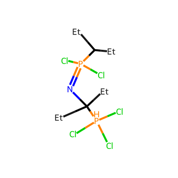 CCC(CC)P(Cl)(Cl)=NC(CC)(CC)[PH](Cl)(Cl)Cl